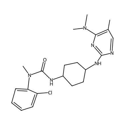 Cc1cnc(NC2CCC(NC(=O)N(C)c3ccccc3Cl)CC2)nc1N(C)C